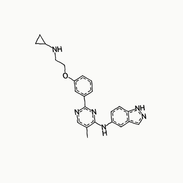 Cc1cnc(-c2cccc(OCCNC3CC3)c2)nc1Nc1ccc2[nH]ncc2c1